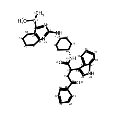 CN(C)c1nc(N[C@H]2CC[C@@H](NC(=O)C(CC(=O)c3ccccc3)c3c[nH]c4ccccc34)CC2)nc2c1CCCC2